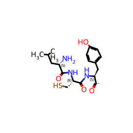 CC(C)C[C@H](N)C(=O)N[C@@H](CS)C(=O)N[C@H]([C]=O)Cc1ccc(O)cc1